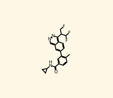 Cc1ccc(C(=O)NC2CC2)cc1-c1ccc2c(C(CF)C(F)F)nncc2c1